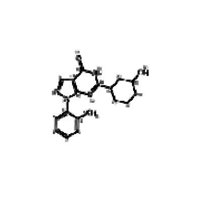 Cc1ccccc1-n1ncc2c(=O)[nH]c(C3CCCC(O)C3)nc21